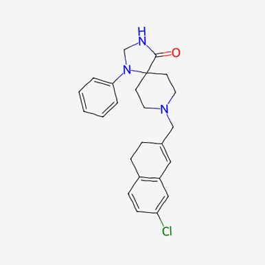 O=C1NCN(c2ccccc2)C12CCN(CC1=Cc3cc(Cl)ccc3CC1)CC2